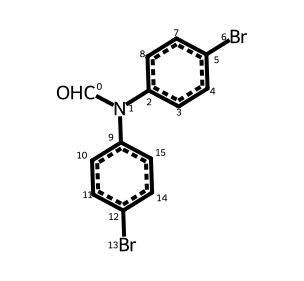 O=CN(c1ccc(Br)cc1)c1ccc(Br)cc1